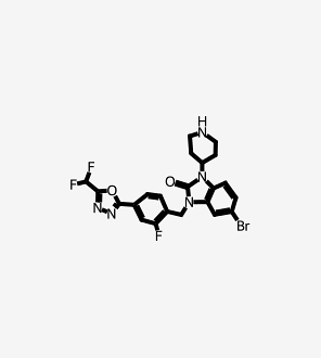 O=c1n(Cc2ccc(-c3nnc(C(F)F)o3)cc2F)c2cc(Br)ccc2n1C1CCNCC1